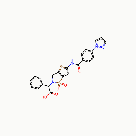 O=C(Nc1cc2c(s1)CN(C(C(=O)O)c1ccccc1)S2(=O)=O)c1ccc(-n2cccn2)cc1